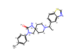 CC(c1ccc2scnc2c1)N1CCC2(CC1)CN(c1ccc(C#N)cc1)C(=O)N2